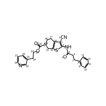 N#Cc1c(NC(=O)CCc2ccccc2)sc2c1CCN(C(=O)OCCc1cccnc1)C2